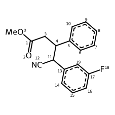 COC(=O)CC(c1ccccc1)C(C#N)c1cccc(F)c1